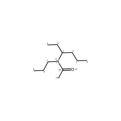 CCCC(CC)N(CCC)C(C)=O